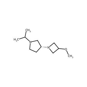 COC1CN([C@@H]2CCN(C(C)C)C2)C1